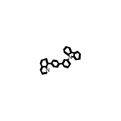 c1cc(-c2ccc(-c3cccc4cccnc34)cc2)cc(-n2c3ccccc3c3ccccc32)c1